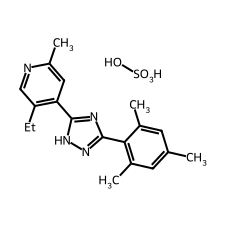 CCc1cnc(C)cc1-c1nc(-c2c(C)cc(C)cc2C)n[nH]1.O=S(=O)(O)O